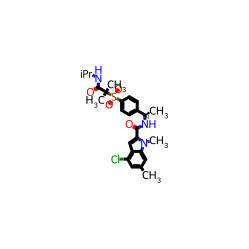 Cc1cc(Cl)c2cc(C(=O)N[C@H](C)c3ccc(S(=O)(=O)C(C)(C)C(=O)NC(C)C)cc3)n(C)c2c1